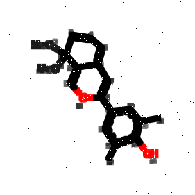 COC1(OC)C=CC=C2C=C(c3cc(C)c(O)c(C)c3)OC=C21